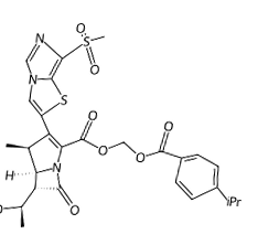 CC(C)c1ccc(C(=O)OCOC(=O)C2=C(c3cn4cnc(S(C)(=O)=O)c4s3)[C@H](C)[C@@H]3[C@@H]([C@@H](C)O)C(=O)N23)cc1